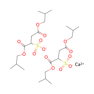 CC(C)COC(=O)CC(C(=O)OCC(C)C)S(=O)(=O)[O-].CC(C)COC(=O)CC(C(=O)OCC(C)C)S(=O)(=O)[O-].[Ca+2]